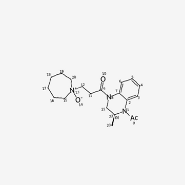 CC(=O)N1c2ccccc2N(C(=O)CC[N+]2([O-])CCCCCC2)C[C@@H]1C